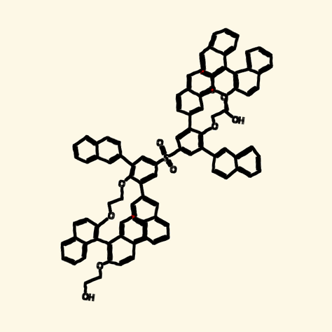 O=S(=O)(c1cc(-c2ccc3ccccc3c2)c(OCCOc2ccc3ccccc3c2-c2c(OCCO)ccc3ccccc23)c(-c2ccc3ccccc3c2)c1)c1cc(-c2ccc3ccccc3c2)c(OCCOc2ccc3ccccc3c2-c2c(OCCO)ccc3ccccc23)c(-c2ccc3ccccc3c2)c1